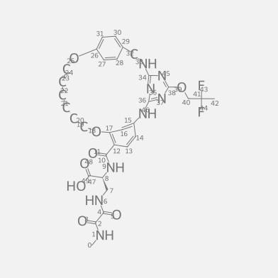 CNC(=O)C(=O)NC[C@H](NC(=O)c1ccc2cc1OCCCCCCOc1ccc(cc1)CNc1nc(nc(OCC(C)(F)F)n1)N2)C(=O)O